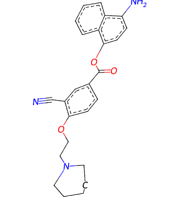 N#Cc1cc(C(=O)Oc2ccc(N)c3ccccc23)ccc1OCCN1CCCCC1